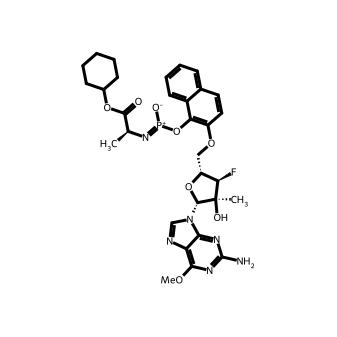 COc1nc(N)nc2c1ncn2[C@@H]1O[C@H](COc2ccc3ccccc3c2O/[P+]([O-])=N/[C@@H](C)C(=O)OC2CCCCC2)[C@@H](F)[C@@]1(C)O